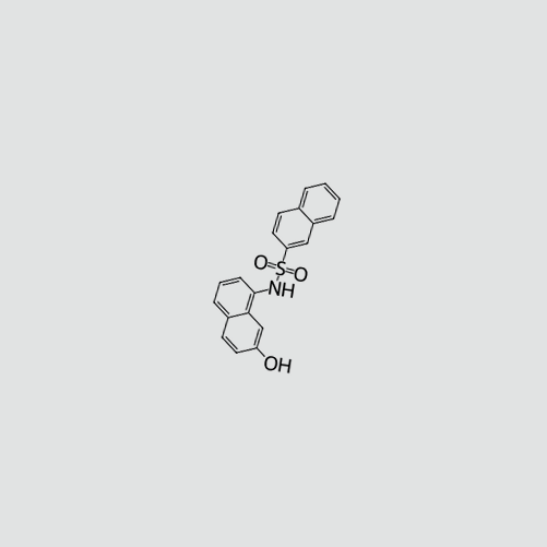 O=S(=O)(Nc1cccc2ccc(O)cc12)c1ccc2ccccc2c1